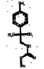 CC(C)(C)OC(=O)NCC(C)(C)c1ccc(N)cc1